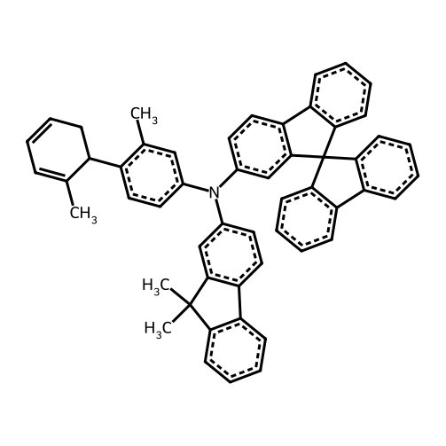 CC1=CC=CCC1c1ccc(N(c2ccc3c(c2)C(C)(C)c2ccccc2-3)c2ccc3c(c2)C2(c4ccccc4-c4ccccc42)c2ccccc2-3)cc1C